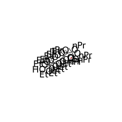 CCCOC(OCCC)(OCCC)C(C)(OCCC)C(OCCC)(OCCC)C(OCC)(OCC)C(OCC)(OCC)C(OCC)(OCC)C(OCC)(OCC)C(OCC)(OCC)C(O)(OCC)OCC